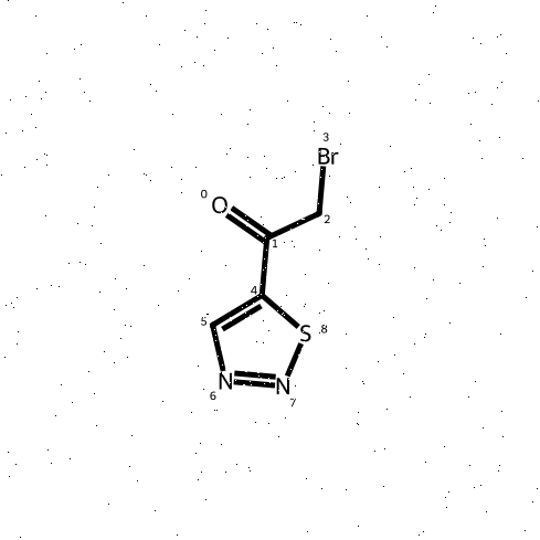 O=C(CBr)c1cnns1